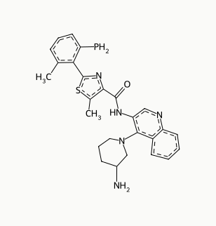 Cc1cccc(P)c1-c1nc(C(=O)Nc2cnc3ccccc3c2N2CCCC(N)C2)c(C)s1